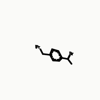 CC(C)Cc1ccc(C(C)Br)cc1